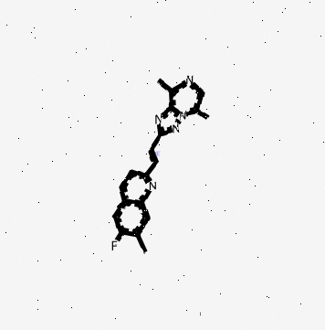 Cc1cc2nc(/C=C/c3nc4c(C)ncc(C)n4n3)ccc2cc1F